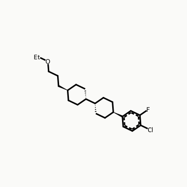 CCOCCC[C@H]1CC[C@H]([C@H]2CC[C@H](c3ccc(Cl)c(F)c3)CC2)CC1